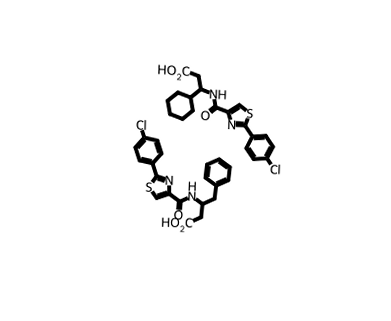 O=C(O)CC(Cc1ccccc1)NC(=O)c1csc(-c2ccc(Cl)cc2)n1.O=C(O)CC(NC(=O)c1csc(-c2ccc(Cl)cc2)n1)C1CCCCC1